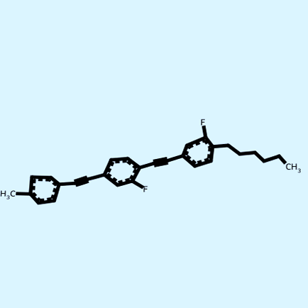 CCCCCCc1ccc(C#Cc2ccc(C#Cc3ccc(C)cc3)cc2F)cc1F